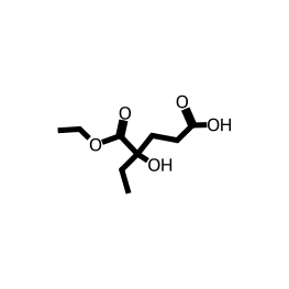 CCOC(=O)C(O)(CC)CCC(=O)O